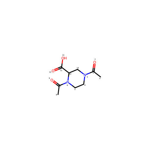 CC(=O)N1CCN(C(C)=O)C(C(=O)O)C1